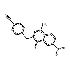 Cc1cn(Cc2ccc(C#N)cc2)c(=O)c2cc([N+](=O)[O-])ccc12